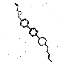 C=CCOCc1ccc(-c2ccc(C3CCC(CCC=CC)CC3)cc2)cc1